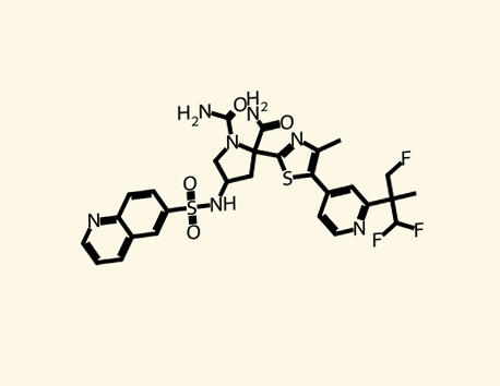 Cc1nc(C2(C(N)=O)CC(NS(=O)(=O)c3ccc4ncccc4c3)CN2C(N)=O)sc1-c1ccnc(C(C)(CF)C(F)F)c1